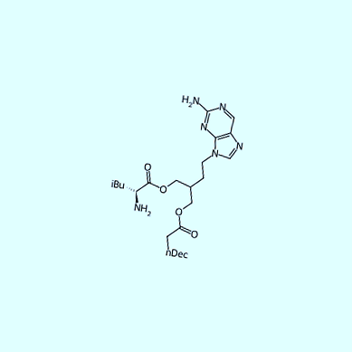 CCCCCCCCCCCC(=O)OCC(CCn1cnc2cnc(N)nc21)COC(=O)[C@@H](N)[C@@H](C)CC